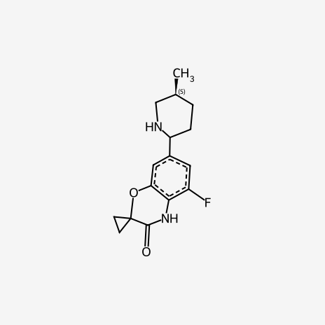 C[C@H]1CCC(c2cc(F)c3c(c2)OC2(CC2)C(=O)N3)NC1